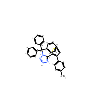 Cc1ccc(-c2ccsc2-c2nnnn2C(c2ccccc2)(c2ccccc2)c2ccccc2)cc1